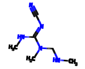 CNCN(C)/C(=N/C#N)NC